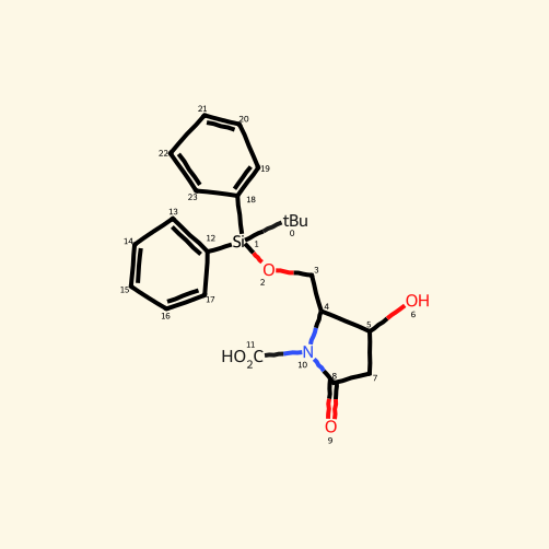 CC(C)(C)[Si](OCC1C(O)CC(=O)N1C(=O)O)(c1ccccc1)c1ccccc1